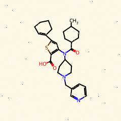 CC1CCC(C(=O)N(c2cc(C3=CCCCC3)sc2C(=O)O)C2CCN(Cc3cccnc3)CC2)CC1